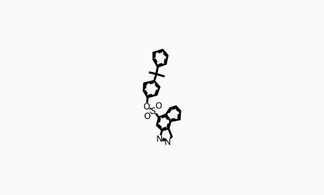 CC(C)(c1ccccc1)c1ccc(OS(=O)(=O)c2cc3c(c4ccccc24)CN=N3)cc1